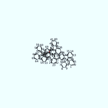 c1ccc(C2(c3ccccc3)c3ccccc3-c3ccc(-c4cccc5c6ccccc6n(-c6cccc7c8ccccc8n(-c8ccc([Si](c9ccccc9)(c9ccccc9)c9ccccc9)cc8)c67)c45)cc32)cc1